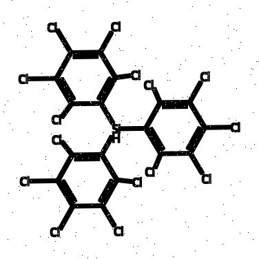 Clc1c(Cl)c(Cl)c([SiH](c2c(Cl)c(Cl)c(Cl)c(Cl)c2Cl)c2c(Cl)c(Cl)c(Cl)c(Cl)c2Cl)c(Cl)c1Cl